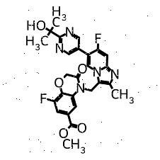 COC(=O)c1cc(F)c2c(c1)N(Cc1c(C)nc3cc(F)c(-c4cnc(C(C)(C)O)nc4)cn13)C(=O)CO2